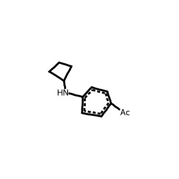 CC(=O)c1ccc(NC2CCC2)cc1